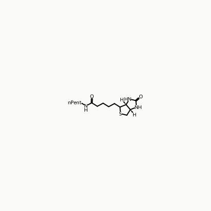 CCCCCNC(=O)CCCCC1SC[C@H]2NC(=O)N[C@@H]12